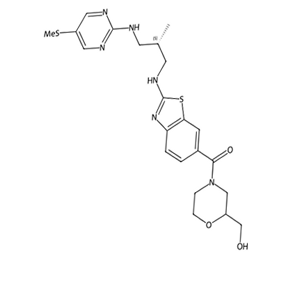 CSc1cnc(NC[C@H](C)CNc2nc3ccc(C(=O)N4CCOC(CO)C4)cc3s2)nc1